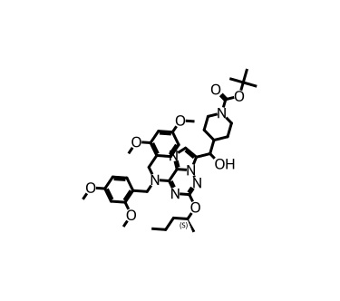 CCC[C@H](C)Oc1nc(N(Cc2ccc(OC)cc2OC)Cc2ccc(OC)cc2OC)c2ncc(C(O)C3CCN(C(=O)OC(C)(C)C)CC3)n2n1